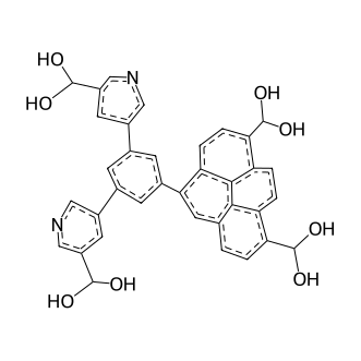 OC(O)c1cncc(-c2cc(-c3cncc(C(O)O)c3)cc(-c3cc4ccc(C(O)O)c5ccc6c(C(O)O)ccc3c6c45)c2)c1